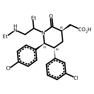 CCNCC(CC)N1C(=O)[C@@H](CC(=O)O)C[C@H](c2cccc(Cl)c2)[C@H]1c1ccc(Cl)cc1